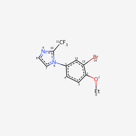 CCOc1ccc(-n2ccnc2C(F)(F)F)cc1Br